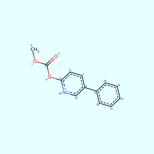 COC(=O)Oc1ccc(-c2ccccc2)cn1